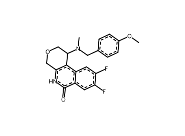 COc1ccc(CN(C)C2COCc3[nH]c(=O)c4cc(F)c(F)cc4c32)cc1